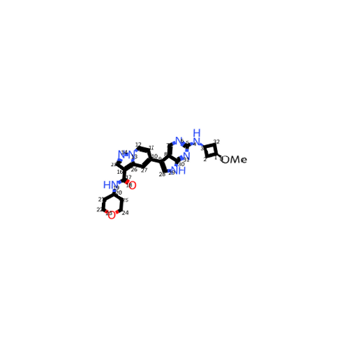 CO[C@H]1C[C@@H](Nc2ncc3c(-c4ccn5ncc(C(=O)NC6CCOCC6)c5c4)c[nH]c3n2)C1